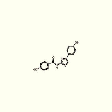 N#Cc1ccc(C(=O)Nc2nc(-c3ccc(O)cc3)cs2)cc1